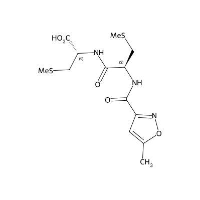 CSC[C@@H](NC(=O)[C@@H](CSC)NC(=O)c1cc(C)on1)C(=O)O